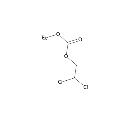 CCOC(=O)OCC(Cl)Cl